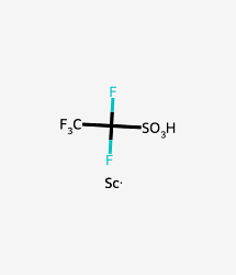 O=S(=O)(O)C(F)(F)C(F)(F)F.[Sc]